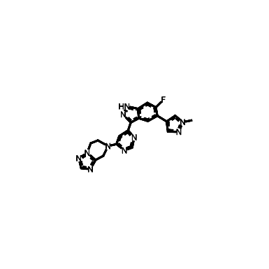 Cn1cc(-c2cc3c(-c4cc(N5CCn6ncnc6C5)ncn4)n[nH]c3cc2F)cn1